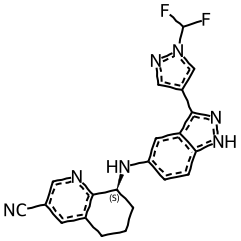 N#Cc1cnc2c(c1)CCC[C@@H]2Nc1ccc2[nH]nc(-c3cnn(C(F)F)c3)c2c1